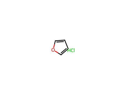 Cl.c1ccoc1